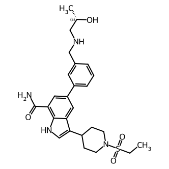 CCS(=O)(=O)N1CCC(c2c[nH]c3c(C(N)=O)cc(-c4cccc(CNC[C@H](C)O)c4)cc23)CC1